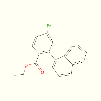 CCOC(=O)c1ccc(Br)cc1-c1cccc2ccccc12